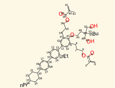 C=C(C)C(=O)OCCCc1cc(-c2ccc(-c3ccc(C4CCC(CCC)CC4)cc3)cc2CC)cc(CCCOC(=O)C(=C)C)c1OCCC(CO)(CO)CCCC